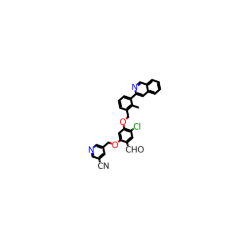 Cc1c(COc2cc(OCc3cncc(C#N)c3)c(C=O)cc2Cl)cccc1-c1cc2ccccc2cn1